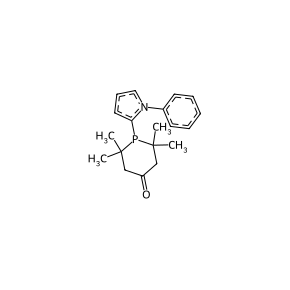 CC1(C)CC(=O)CC(C)(C)P1c1cccn1-c1ccccc1